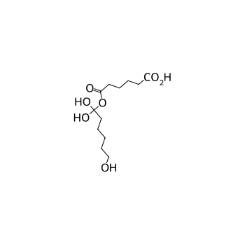 O=C(O)CCCCC(=O)OC(O)(O)CCCCCO